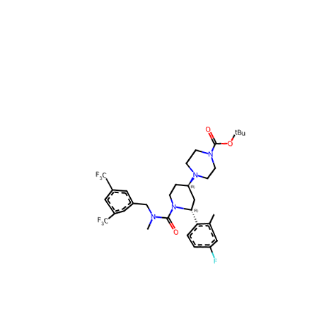 Cc1cc(F)ccc1[C@H]1C[C@H](N2CCN(C(=O)OC(C)(C)C)CC2)CCN1C(=O)N(C)Cc1cc(C(F)(F)F)cc(C(F)(F)F)c1